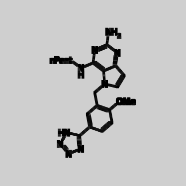 CCCCCNc1nc(N)nc2ccn(Cc3cc(-c4nnn[nH]4)ccc3OC)c12